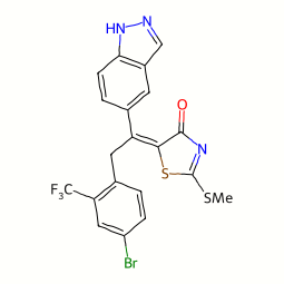 CSC1=NC(=O)C(=C(Cc2ccc(Br)cc2C(F)(F)F)c2ccc3[nH]ncc3c2)S1